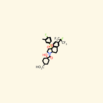 Cc1cc(S(=O)(=O)C23CCN(C(=O)[C@]4(O)CC[C@@H](C(=O)O)CC4)C2CCc2cc(C(F)(C(F)(F)F)C(F)(F)F)ccc23)ccc1F